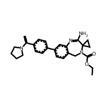 C=C(c1ccc(-c2ccc3c(c2)N=C(N)C2(CC2)N(C(=O)OCC)C3)cc1)N1CCCC1